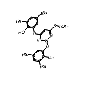 CCCCCCCCSC1=NN(Oc2cc(C(C)(C)C)cc(C(C)(C)C)c2O)NC(Oc2cc(C(C)(C)C)cc(C(C)(C)C)c2O)=C1